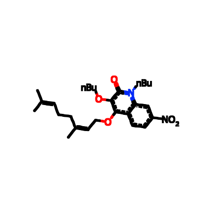 CCCCOc1c(OCC=C(C)CCC=C(C)C)c2ccc([N+](=O)[O-])cc2n(CCCC)c1=O